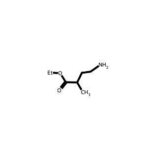 CCOC(=O)C(C)CCN